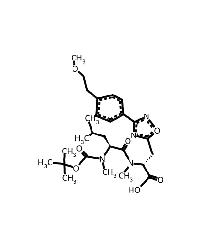 COCCc1ccc(-c2noc(C[C@H](C(=O)O)N(C)C(=O)[C@H](CC(C)C)N(C)C(=O)OC(C)(C)C)n2)cc1